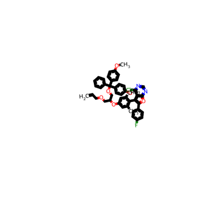 C=CCOCC(COC(c1ccccc1)(c1ccc(OC)cc1)c1ccc(OC)cc1)Oc1cc(C)c(-c2c(-c3ccc(F)cc3)oc3ncnc(Cl)c23)c(C)c1